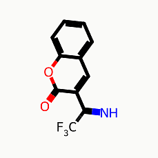 N=C(c1cc2ccccc2oc1=O)C(F)(F)F